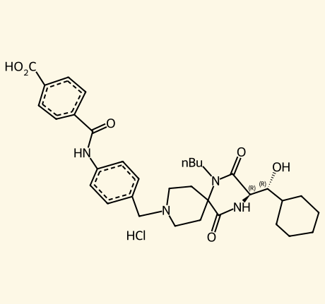 CCCCN1C(=O)[C@@H]([C@H](O)C2CCCCC2)NC(=O)C12CCN(Cc1ccc(NC(=O)c3ccc(C(=O)O)cc3)cc1)CC2.Cl